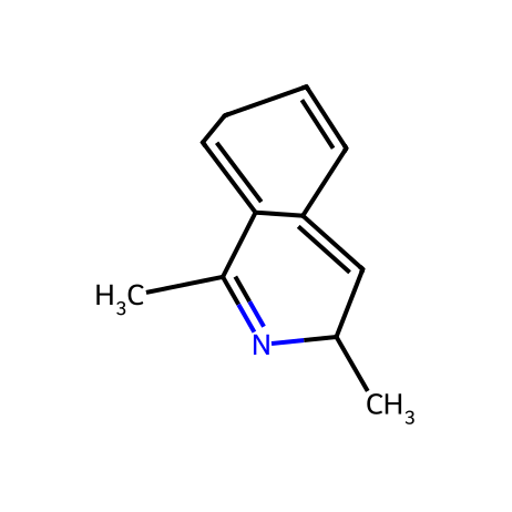 CC1=NC(C)C=C2C=CCC=C21